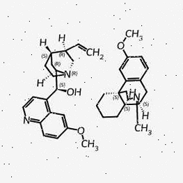 C=C[C@H]1C[N@]2CC[C@H]1C[C@@H]2[C@@H](O)c1ccnc2ccc(OC)cc12.COc1ccc2c(c1)[C@]13CCCC[C@@H]1[C@H](C2)N(C)CC3